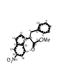 COC(=O)C(Cc1ccccc1)n1ccc2cc([N+](=O)[O-])ccc21